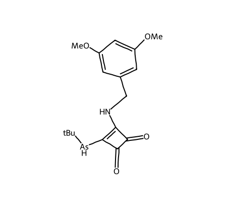 COc1cc(CNc2c([AsH]C(C)(C)C)c(=O)c2=O)cc(OC)c1